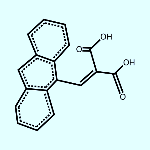 O=C(O)C(=Cc1c2ccccc2cc2ccccc12)C(=O)O